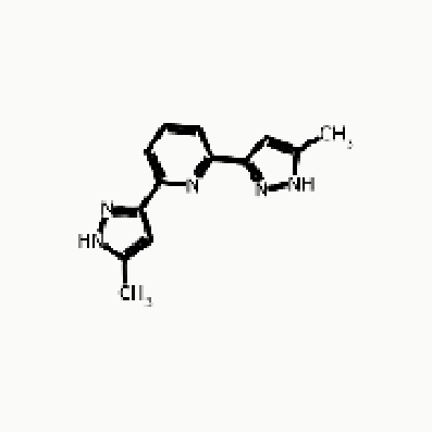 Cc1cc(-c2cccc(-c3cc(C)[nH]n3)n2)n[nH]1